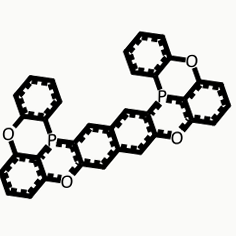 c1ccc2c(c1)Oc1cccc3oc4cc5cc6oc7cccc8c7p(c6cc5cc4p-2c13)-c1ccccc1O8